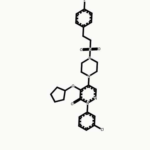 O=c1c(OC2CCCC2)c(N2CCN(S(=O)(=O)CCc3ccc(F)cc3)CC2)cnn1-c1cccc(Cl)c1